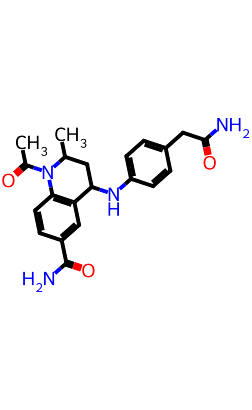 CC(=O)N1c2ccc(C(N)=O)cc2C(Nc2ccc(CC(N)=O)cc2)CC1C